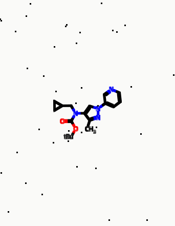 Cc1nn(-c2cccnc2)cc1N(CC1CC1)C(=O)OC(C)(C)C